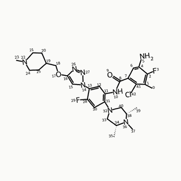 Cc1c(F)c(N)cc(C(=O)Nc2cc(-n3cc(OCC4CCN(C)CC4)nn3)c(F)cc2N2C[C@@H](C)N(C)[C@@H](C)C2)c1Cl